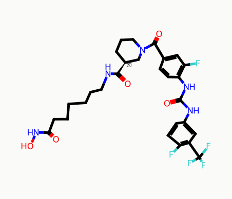 O=C(CCCCCCNC(=O)[C@H]1CCCN(C(=O)c2ccc(NC(=O)Nc3ccc(F)c(C(F)(F)F)c3)c(F)c2)C1)NO